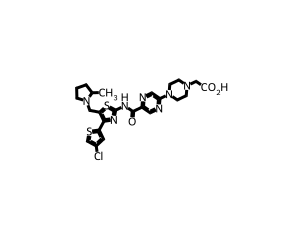 CC1CCCN1Cc1sc(NC(=O)c2cnc(N3CCN(CC(=O)O)CC3)cn2)nc1-c1cc(Cl)cs1